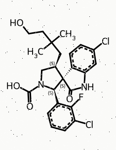 CC(C)(CCO)C[C@@H]1CN(C(=O)O)[C@H](c2cccc(Cl)c2F)[C@]12C(=O)Nc1cc(Cl)ccc12